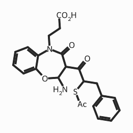 CC(=O)SC(Cc1ccccc1)C(=O)C1C(=O)N(CCC(=O)O)c2ccccc2OC1N